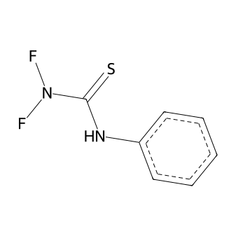 FN(F)C(=S)Nc1ccccc1